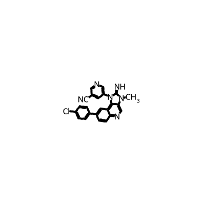 Cn1c(=N)n(-c2cncc(C#N)c2)c2c3cc(-c4ccc(Cl)cc4)ccc3ncc21